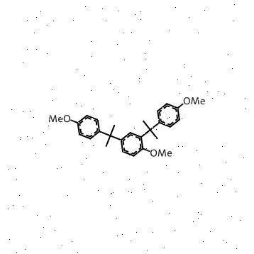 COc1ccc(C(C)(C)c2ccc(OC)c(C(C)(C)c3ccc(OC)cc3)c2)cc1